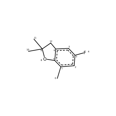 Cc1cc(F)cc2c1OC(C)(C)C2